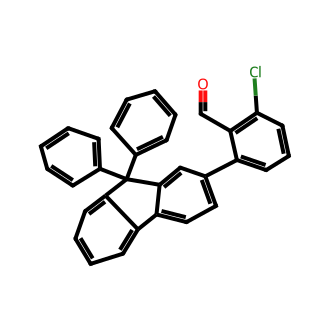 O=Cc1c(Cl)cccc1-c1ccc2c(c1)C(c1ccccc1)(c1ccccc1)c1ccccc1-2